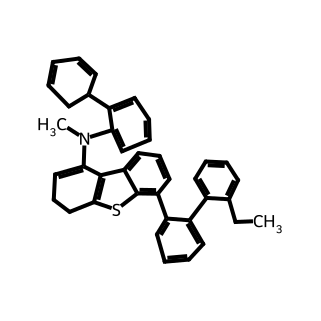 CCc1ccccc1-c1ccccc1-c1cccc2c3c(sc12)CCC=C3N(C)c1ccccc1C1C=CC=CC1